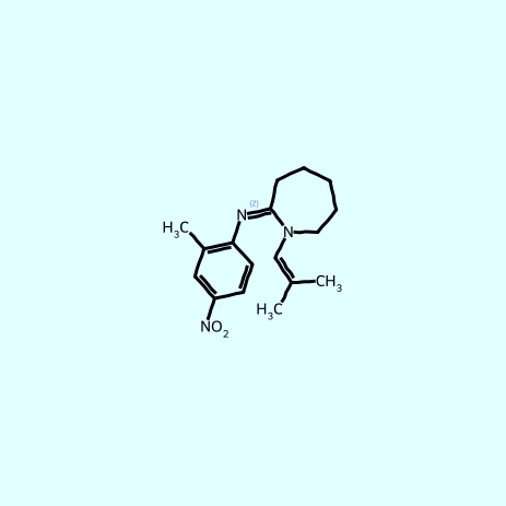 CC(C)=CN1CCCCC/C1=N/c1ccc([N+](=O)[O-])cc1C